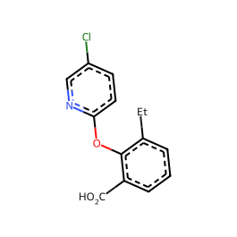 CCc1cccc(C(=O)O)c1Oc1ccc(Cl)cn1